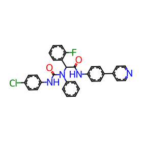 O=C(Nc1ccc(-c2ccncc2)cc1)C(c1ccccc1F)N(C(=O)Nc1ccc(Cl)cc1)c1ccccc1